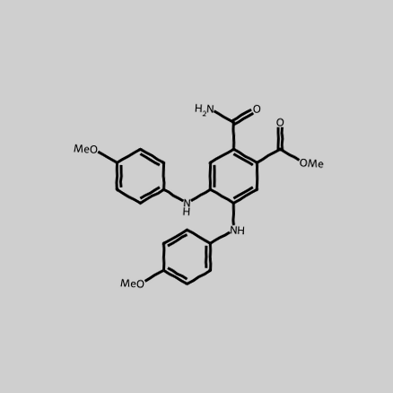 COC(=O)c1cc(Nc2ccc(OC)cc2)c(Nc2ccc(OC)cc2)cc1C(N)=O